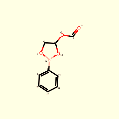 O=COC1COB(c2ccccc2)O1